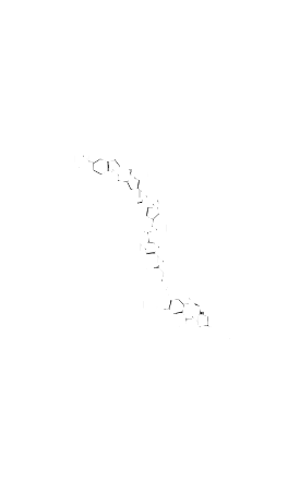 C=C1C[C@H]2C=Nc3cc(OCCCC(=O)Nc4cn(C)c(C(O)Nc5cc(C(=O)Nc6cc(C(=O)n7ccc8cc(N)ccc87)n(C)c6)n(C)c5)n4)c(OC)cc3C(=O)N2C1